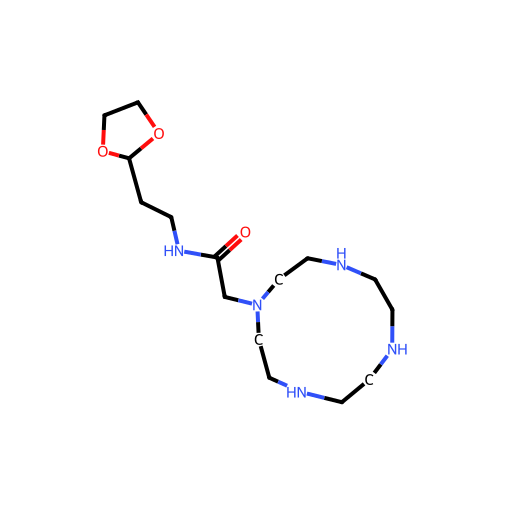 O=C(CN1CCNCCNCCNCC1)NCCC1OCCO1